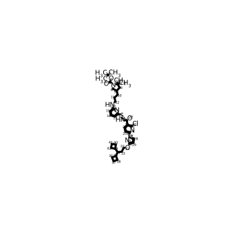 CC(C)(C)OC(=O)N1CC(CCCNc2cccc(SNC(=O)c3ccc(-n4ccc(OCCC(C5CCC5)C5CCC5)n4)nc3Cl)n2)CC1(C)C